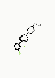 CCCCCCCCC1CCC(C2C=CC(c3cccc(F)c3F)=CC2)CC1